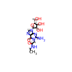 CCNC(=O)Cn1c(N)nc2c(ncn2[C@@H]2O[C@H](CO)[C@@H](O)[C@H]2O)c1=O